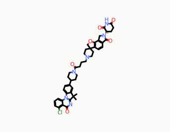 CC1(C)c2cc(C3CCN(C(=O)CCCN4CCC5(CC4)COc4c5ccc5c4CN([C@H]4CCC(=O)NC4=O)C5=O)CC3)ccc2-n2c1nc(=O)c1c(Cl)cccc12